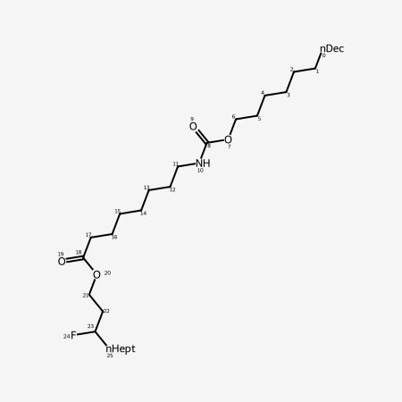 CCCCCCCCCCCCCCCCOC(=O)NCCCCCCCC(=O)OCCC(F)CCCCCCC